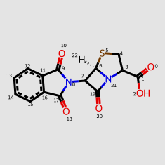 O=C(O)C1CS[C@@H]2C(N3C(=O)c4ccccc4C3=O)C(=O)N12